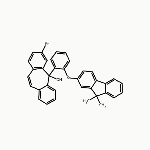 CC1(C)c2ccccc2-c2ccc(Sc3ccccc3C3(O)c4ccccc4C=Cc4ccc(Br)cc43)cc21